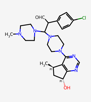 C[C@@H]1C[C@@H](O)c2ncnc(N3CCN(C(C(C=O)c4ccc(Cl)cc4)N4CCN(C)CC4)CC3)c21